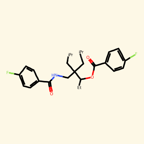 CCC(OC(=O)c1ccc(F)cc1)C(CNC(=O)c1ccc(F)cc1)(CC(C)C)CC(C)C